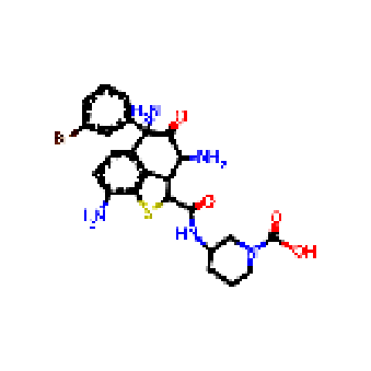 Nc1ccc2c3c1SC(C(=O)NC1CCCN(C(=O)O)C1)C3C(N)C(=O)C2(N)c1cccc(Br)c1